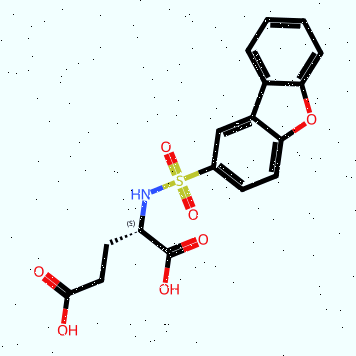 O=C(O)CC[C@H](NS(=O)(=O)c1ccc2oc3ccccc3c2c1)C(=O)O